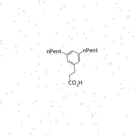 CCCCCc1cc(CCCCC)cc(CCC(=O)O)c1